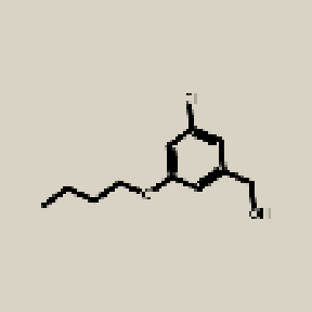 CCCCOc1cc(Cl)cc(CO)c1